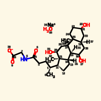 C[C@H](CCC(=O)NCC(=O)[O-])[C@H]1CC[C@H]2[C@@H]3[C@H](O)C[C@@H]4C[C@H](O)CC[C@]4(C)[C@H]3C[C@H](O)[C@]12C.O.[Na+]